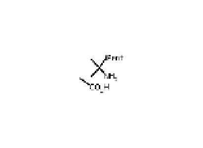 CC(=O)O.CCCC(C)C(C)(C)N